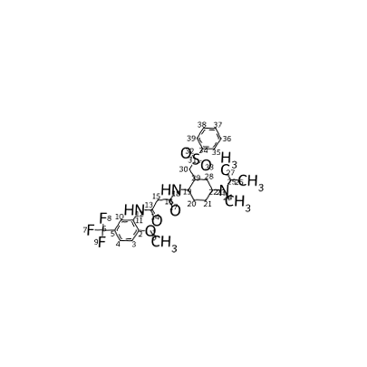 COc1ccc(C(F)(F)F)cc1NC(=O)CC(=O)NC1CCC(N(C)C(C)C)CC1CS(=O)(=O)c1ccccc1